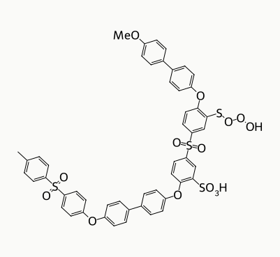 COc1ccc(-c2ccc(Oc3ccc(S(=O)(=O)c4ccc(Oc5ccc(-c6ccc(Oc7ccc(S(=O)(=O)c8ccc(C)cc8)cc7)cc6)cc5)c(S(=O)(=O)O)c4)cc3SOOO)cc2)cc1